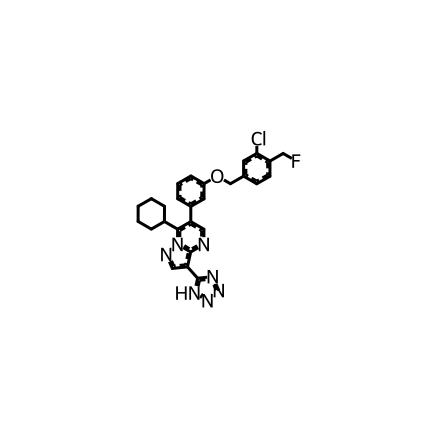 FCc1ccc(COc2cccc(-c3cnc4c(-c5nnn[nH]5)cnn4c3C3CCCCC3)c2)cc1Cl